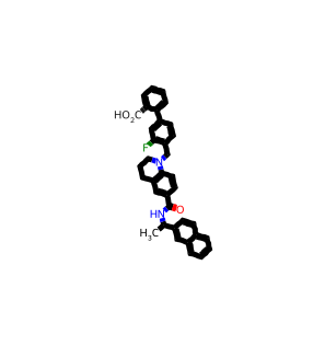 CC(NC(=O)c1ccc2c(c1)CCCN2Cc1ccc(-c2ccccc2C(=O)O)cc1F)c1ccc2ccccc2c1